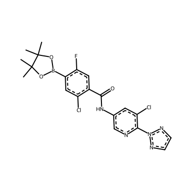 CC1(C)OB(c2cc(Cl)c(C(=O)Nc3cnc(-n4nccn4)c(Cl)c3)cc2F)OC1(C)C